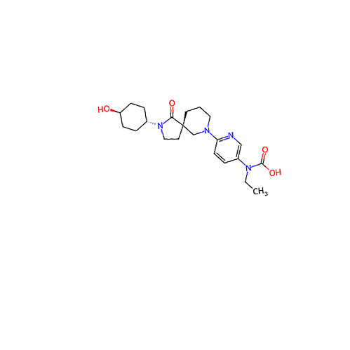 CCN(C(=O)O)c1ccc(N2CCC[C@]3(CCN([C@H]4CC[C@H](O)CC4)C3=O)C2)nc1